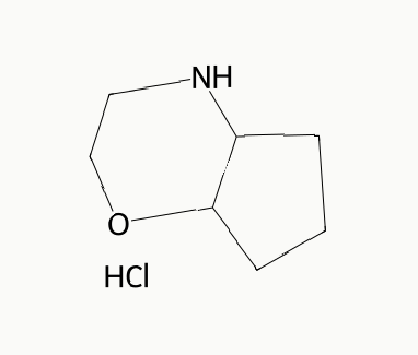 C1CC2NCCOC2C1.Cl